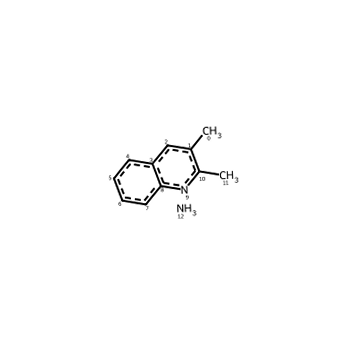 Cc1cc2ccccc2nc1C.N